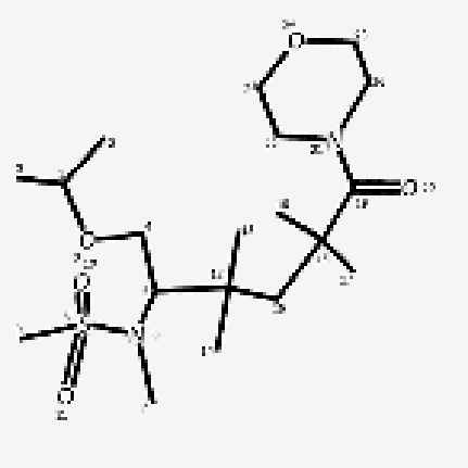 CC(C)OCC(N(C)S(C)(=O)=O)C(C)(C)CC(C)(C)C(=O)N1CCOCC1